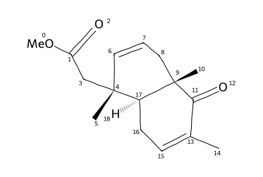 COC(=O)C[C@]1(C)C=CC[C@]2(C)C(=O)C(C)=CC[C@@H]12